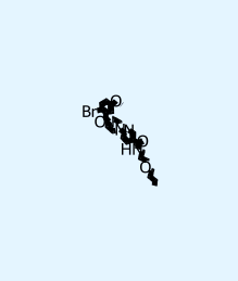 CCCCOCCCNC(=O)c1ccc(N2CCN(C(=O)c3cc(OC)ccc3Br)CC2)nc1